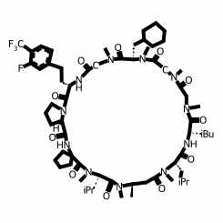 CCC(C)[C@@H]1NC(=O)[C@H](CC(C)C)N(C)C(=O)C[C@@H](C)N(C)C(=O)[C@H](C(C)C)N(C)C(=O)C2(CCCC2)NC(=O)[C@@H]2CCCN2C(=O)[C@H](CCc2ccc(C(F)(F)F)c(F)c2)NC(=O)CN(C)C(=O)[C@H](CC2CCCCC2)N(C)C(=O)CN(C)C(=O)CN(C)C1=O